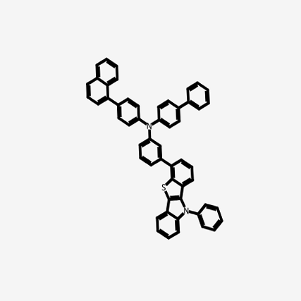 c1ccc(-c2ccc(N(c3ccc(-c4cccc5ccccc45)cc3)c3cccc(-c4cccc5c4sc4c6ccccc6n(-c6ccccc6)c54)c3)cc2)cc1